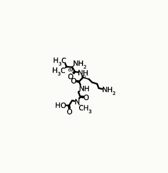 CC(C)[C@H](N)C(=O)N[C@@H](CCCCN)C(=O)NCC(=O)N(C)CC(=O)O